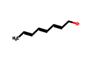 CC=CC=CC=CC[O]